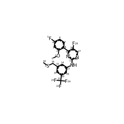 COc1cc(F)ccc1-c1nc(Nc2cc(CSC)cc(C(F)(F)F)c2)ncc1F